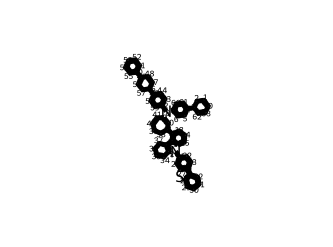 C1=CCC(c2ccc(N(C3=CC(c4cccc5c4c4c(n5-c5ccc6c(c5)sc5ccccc56)C=CCC4)CCC=C3)c3ccc(C4C=CC(c5ccccc5)=CC4)cc3)cc2)C=C1